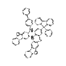 c1ccc(-c2ccc(N3c4cc5oc6ccccc6c5cc4B4c5cc6c(cc5Sc5cc(C7(c8ccccc8)c8ccccc8-c8ccccc87)cc3c54)oc3ccccc36)cc2)cc1